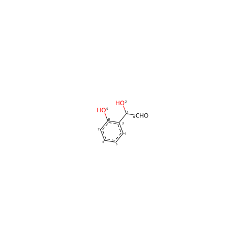 O=CC(O)c1ccccc1O